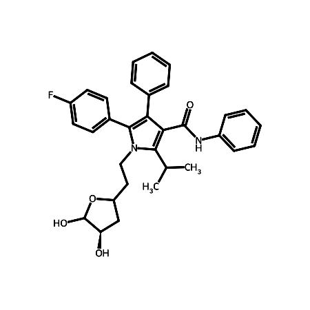 CC(C)c1c(C(=O)Nc2ccccc2)c(-c2ccccc2)c(-c2ccc(F)cc2)n1CCC1C[C@@H](O)C(O)O1